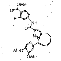 COC(=O)c1ccc(NC(=O)c2cc3n(n2)/C(c2ccc(OC)c(OC)c2)=C\C=C/CC3)cc1F